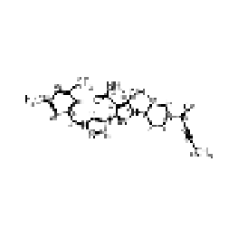 CC#CC(=O)N1CCC(n2nc(-c3cnn(Cc4cc(C(F)(F)F)cc(C(F)(F)F)c4)c3)c(C(N)=O)c2N)CC1